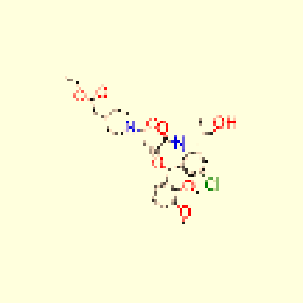 CCOC(=O)CC1CCN(C(=O)C[C@H]2OC(c3cccc(OC)c3OC)c3cc(Cl)ccc3N(CC(C)(C)CO)C2=O)CC1